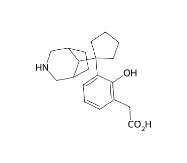 O=C(O)Cc1cccc(C2(C3C4CCC3CNC4)CCCC2)c1O